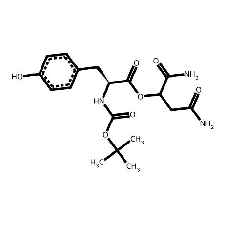 CC(C)(C)OC(=O)N[C@@H](Cc1ccc(O)cc1)C(=O)OC(CC(N)=O)C(N)=O